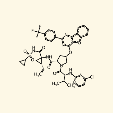 C=C[C@@H]1C[C@]1(NC(=O)[C@@H]1C[C@@H](Oc2nc(-c3ccc(C(F)(F)F)cc3)nc3c2oc2ccccc23)CN1C(=O)[C@@H](Nc1nccc(Cl)n1)C(C)C)C(=O)NS(=O)(=O)C1CC1